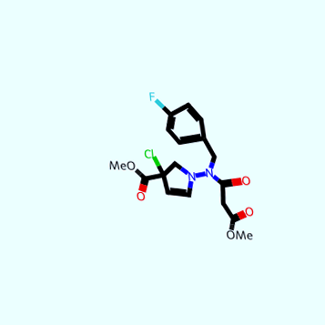 COC(=O)CC(=O)N(Cc1ccc(F)cc1)N1C=CC(Cl)(C(=O)OC)C1